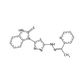 CC(=NNc1nnc(-n2c(=S)[nH]c3ccccc32)s1)c1ccccn1